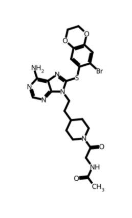 CC(=O)NCC(=O)N1CCC(CCn2c(Sc3cc4c(cc3Br)OCCO4)nc3c(N)ncnc32)CC1